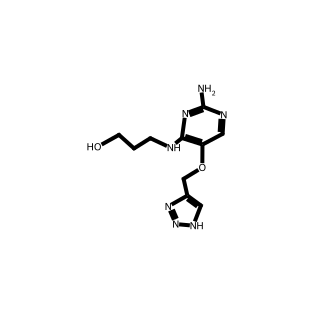 Nc1ncc(OCc2c[nH]nn2)c(NCCCO)n1